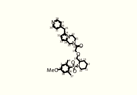 COc1cc(C)c(S(=O)(=O)N2CCCCC2COCC(=O)N2CCn3c(Cc4ccncc4)ccc3C2)c(C)c1